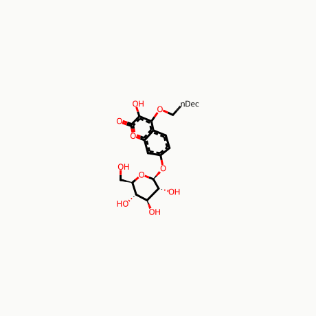 CCCCCCCCCCCOc1c(O)c(=O)oc2cc(O[C@@H]3O[C@H](CO)[C@@H](O)[C@H](O)[C@H]3O)ccc12